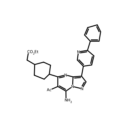 CCOC(=O)CC1CCC(c2nc3c(-c4ccc(-c5ccccc5)nc4)cnn3c(N)c2C(C)=O)CC1